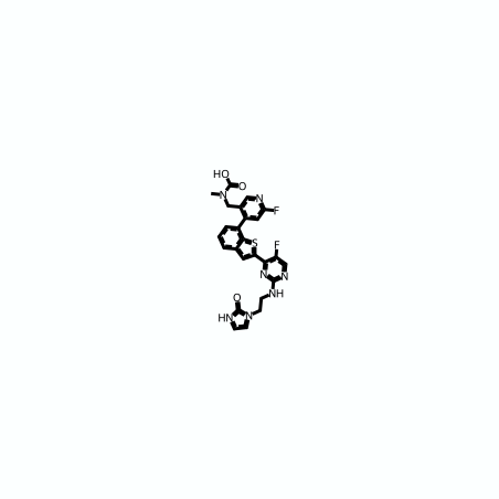 CN(Cc1cnc(F)cc1-c1cccc2cc(-c3nc(NCCn4cc[nH]c4=O)ncc3F)sc12)C(=O)O